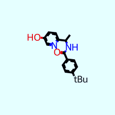 CC(NC(=O)c1ccc(C(C)(C)C)cc1)c1ccc(O)cn1